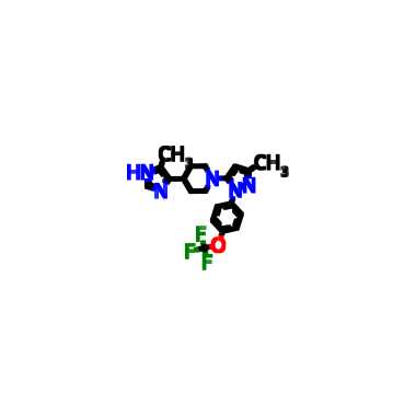 Cc1cc(N2CCC(c3nc[nH]c3C)CC2)n(-c2ccc(OC(F)(F)F)cc2)n1